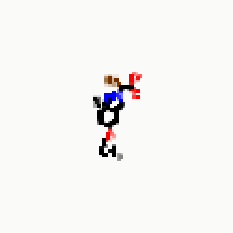 CCOc1ccc2nn(C(S)C(=O)[O-])cc2c1.[Na+]